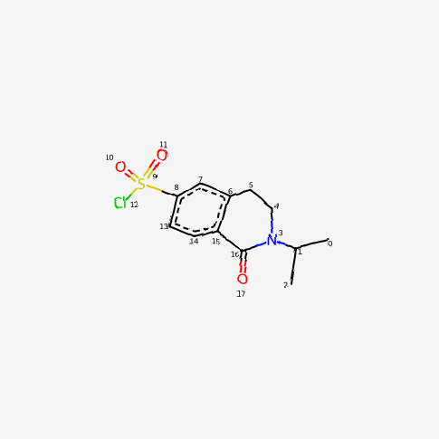 CC(C)N1CCc2cc(S(=O)(=O)Cl)ccc2C1=O